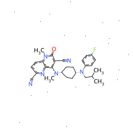 CC(C)CN(c1ccc(F)cc1)[C@H]1CC[C@@H](N(C)c2c(C#N)c(=O)n(C)c3ccc(C#N)nc23)CC1